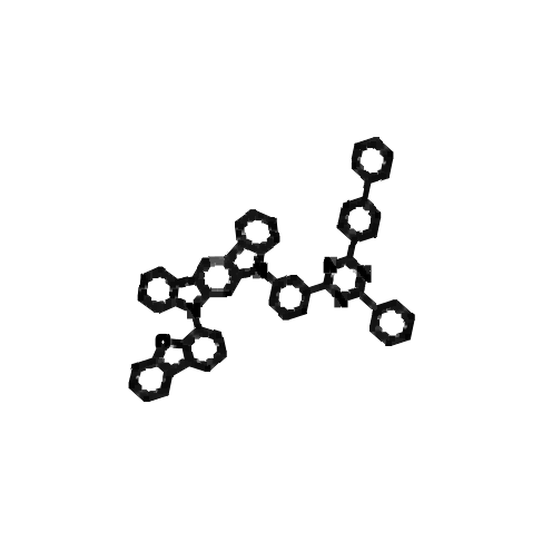 c1ccc(-c2ccc(-c3nc(-c4ccccc4)nc(-c4cccc(-n5c6ccccc6c6cc7c8ccccc8n(-c8cccc9c8oc8ccccc89)c7cc65)c4)n3)cc2)cc1